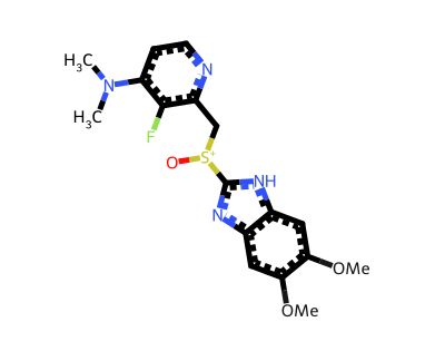 COc1cc2nc([S+]([O-])Cc3nccc(N(C)C)c3F)[nH]c2cc1OC